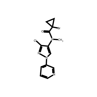 CN(C(=O)C1(Br)CC1)c1cn(-c2cccnc2)nc1Cl